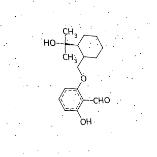 CC(C)(O)[C@H]1CCCCC1COc1cccc(O)c1C=O